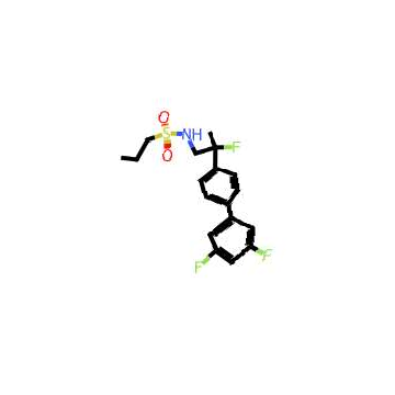 CCCS(=O)(=O)NCC(C)(F)c1ccc(-c2cc(F)cc(F)c2)cc1